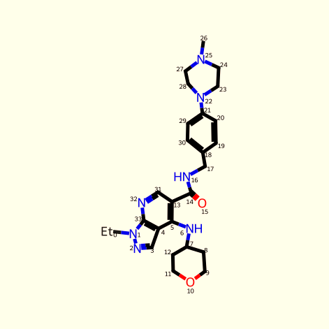 CCn1ncc2c(NC3CCOCC3)c(C(=O)NCc3ccc(N4CCN(C)CC4)cc3)cnc21